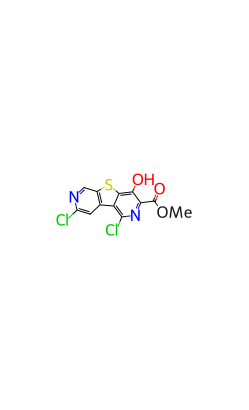 COC(=O)c1nc(Cl)c2c(sc3cnc(Cl)cc32)c1O